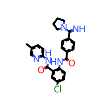 Cc1ccc(NC(=O)c2cc(Cl)ccc2NC(=O)c2ccc(C(=N)N3CCCC3)cc2)nc1